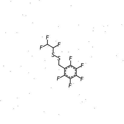 Fc1c(F)c(F)c(CSSC(F)C(F)F)c(F)c1F